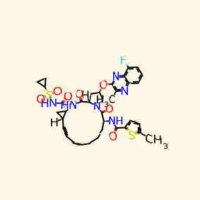 Cc1ccc(C(=O)N[C@H]2CCCCCC=C[C@@H]3C[C@@]3(C(=O)NS(=O)(=O)C3CC3)NC(=O)[C@@H]3C[C@@H](Oc4nc5c(F)cccc5nc4C)CN3C2=O)s1